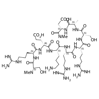 CNC(=O)[C@H](CC(=O)O)NC(=O)[C@H](C)NC(=O)[C@H](CO)NC(=O)[C@H](CCCNC(=N)N)NC(=O)[C@H](CCCNC(=N)N)NC(=O)[C@H](CCCCN)NC(=O)[C@@H](CCC(=O)O)NC(=O)[C@H](CCCNC(=N)N)NC(=O)[C@H](CO)NC